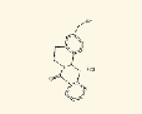 CC(C)Cc1ccc2c(c1)CCN1C(=O)c3cccnc3CC21.Cl